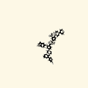 CC1(C)CCC(CN2CCN(c3ccc(C(=O)NS(=O)(=O)c4ccc(NN5CCN(C6CCOCC6)CC5)c([N+](=O)[O-])c4)c(Oc4cnc5[nH]ccc5c4)c3)CC2)=C(c2ccc(Cl)cc2)C1